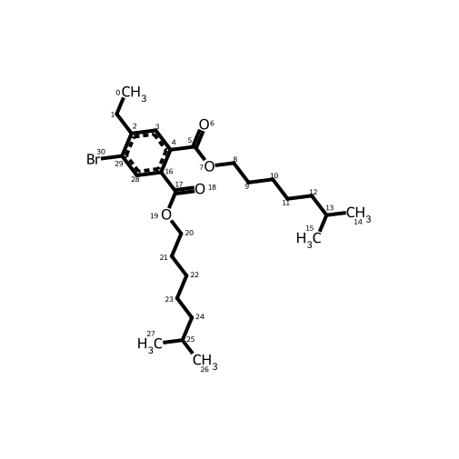 CCc1cc(C(=O)OCCCCCC(C)C)c(C(=O)OCCCCCC(C)C)cc1Br